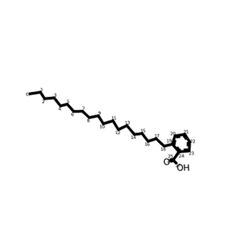 CCCCCCCCCCCCCCCCCCCc1ccccc1C(=O)O